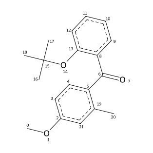 COc1ccc(C(=O)c2ccccc2OC(C)(C)C)c(C)c1